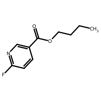 CCCCOC(=O)c1ccc(F)nc1